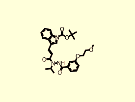 COCCOc1cccc(C(=O)NN(C(=O)/C=C/c2cn(C(=O)OC(C)(C)C)c3ccccc23)C(C)C)c1